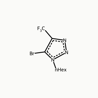 CCCCCCn1nnc(C(F)(F)F)c1Br